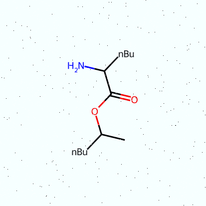 CCCCC(C)OC(=O)C(N)CCCC